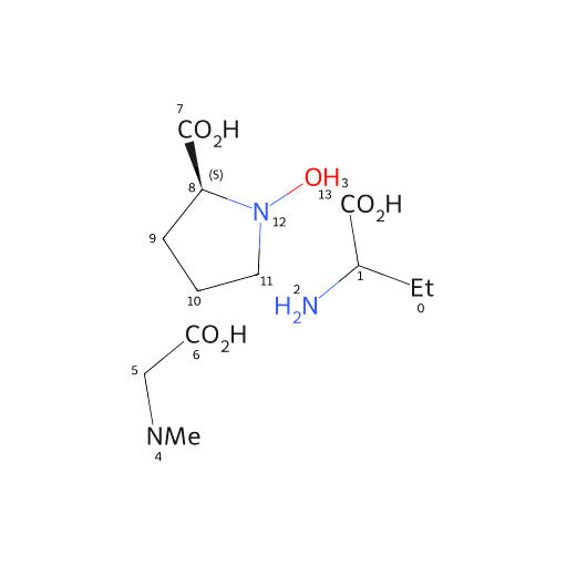 CCC(N)C(=O)O.CNCC(=O)O.O=C(O)[C@@H]1CCCN1O